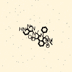 CC(C)[S@](=N)(=O)c1cccc2c(Cl)c([C@H](C)Nc3ncnc4[nH]ccc(=O)c34)n(-c3ccccc3)c(=O)c12